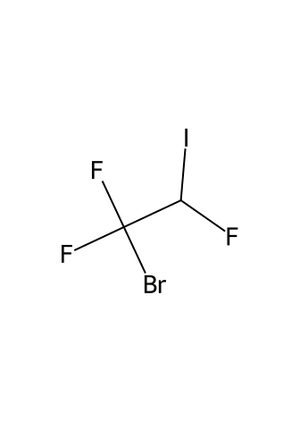 FC(I)C(F)(F)Br